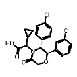 O=C(O)C(C1CC1)N1C(=O)CO[C@H](c2cccc(Cl)c2)[C@H]1c1ccc(Cl)cc1